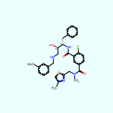 COc1cccc(CNC[C@@H](O)[C@H](Cc2ccccc2)NC(=O)c2cc(C(=O)N(C)Cc3nc(C)cs3)ccc2F)c1